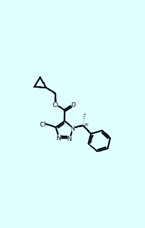 C[C@H](c1ccccc1)n1nnc(Cl)c1C(=O)OCC1CC1